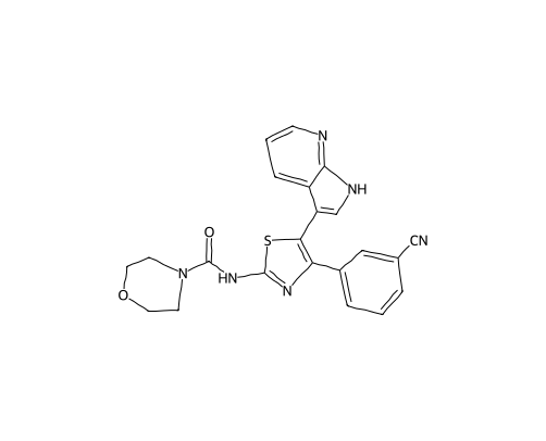 N#Cc1cccc(-c2nc(NC(=O)N3CCOCC3)sc2-c2c[nH]c3ncccc23)c1